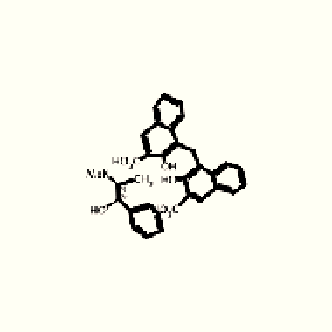 CN[C@@H](C)[C@H](O)c1ccccc1.O=C(O)c1cc2ccccc2c(Cc2c(O)c(C(=O)O)cc3ccccc23)c1O